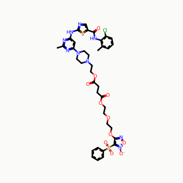 Cc1nc(Nc2ncc(C(=O)Nc3c(C)cccc3Cl)s2)cc(N2CCN(CCOC(=O)CCC(=O)OCCOCCOc3no[n+]([O-])c3S(=O)(=O)c3ccccc3)CC2)n1